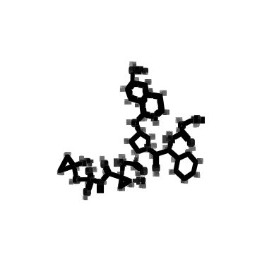 CCCC1(OS(=O)(=O)NC(=O)[C@@]2(NC(=O)[C@@H]3C[C@@H](Oc4nccc5cc(OC)ccc45)CN3C(=O)[C@@H](NC(=O)OC(C)(C)C)C3CCCCC3)C[C@H]2CC)CC1